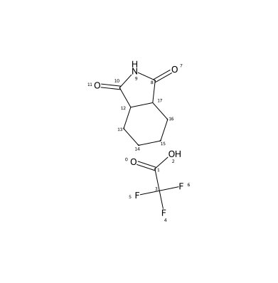 O=C(O)C(F)(F)F.O=C1NC(=O)C2CCCCC12